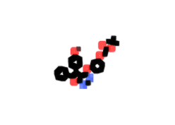 COc1ccc(-c2c(-c3ccccc3)oc3ncnc(OC4CCCC(OCC(=O)OC(C)(C)C)C4)c23)cc1